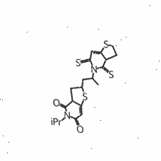 CC(C)N1C(=O)C=C2SC(CC(C)N3C(=S)C=C4SCCC4C3=S)CC2C1=O